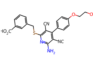 [C-]#[N+]c1c(N)nc(SCc2cccc(C(=O)O)c2)c(C#N)c1-c1ccc(OCCO)cc1